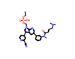 CCOP(=O)(O)OCn1cc(-c2ccnc(C#N)c2)c2cc(-c3cccc(N(C)C(=O)C=CCN(C)C)c3)cnc21